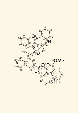 COC(=O)[C@@H]1CCC[C@@H]2SCC[C@H](NC(=O)[C@H](CC[C@H](Cc3ccccc3)C(=O)N[C@@H]3C(=O)N4CCCC[C@@H]4SC3(C)C)Cc3ccccc3)C(=O)N21